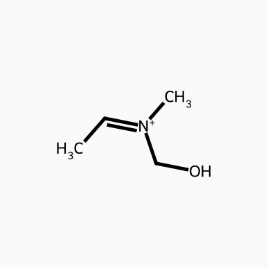 CC=[N+](C)CO